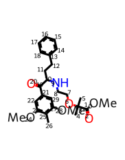 COC(=O)C(C)(C)OCCNC(CCc1ccccc1)C(=O)c1cc(OC)c(C)c(OC)c1